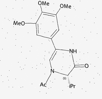 COc1cc(C2=CN(C(C)=O)[C@@H](C(C)C)C(=O)N2)cc(OC)c1OC